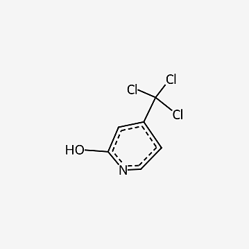 Oc1cc(C(Cl)(Cl)Cl)ccn1